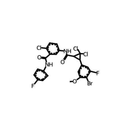 COc1cc(C2C(C(=O)Nc3ccc(Cl)c(C(=O)Nc4ccc(F)cc4)c3)C2(Cl)Cl)cc(F)c1Br